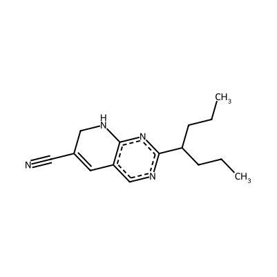 CCCC(CCC)c1ncc2c(n1)NCC(C#N)=C2